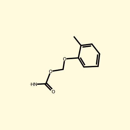 Cc1ccccc1OCOC([NH])=O